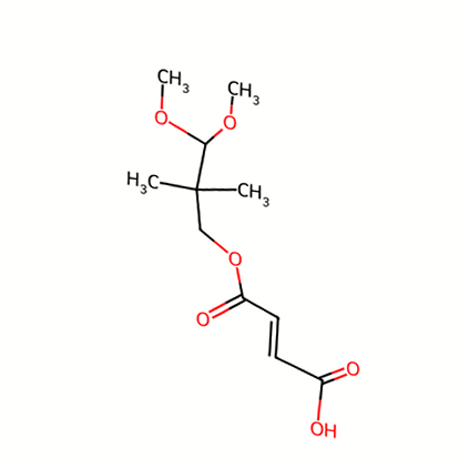 COC(OC)C(C)(C)COC(=O)/C=C/C(=O)O